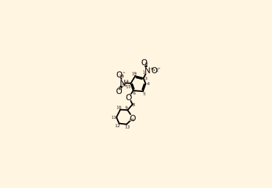 O=[N+]([O-])c1ccc(OCC2CCCCO2)c([N+](=O)[O-])c1